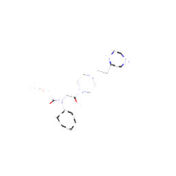 CC(C)(C)OC(=O)N(CC(=O)N1CCN(CCc2cnccn2)CC1)c1ccccc1